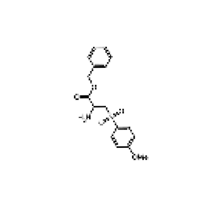 COc1ccc(S(=O)(=O)CC(N)C(=O)OCc2ccccc2)cc1